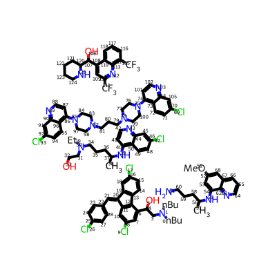 CCCCN(CCCC)CC(O)c1cc(Cl)cc2c1-c1ccc(Cl)cc1/C2=C/c1ccc(Cl)cc1.CCN(CCO)CCCC(C)Nc1ccnc2cc(Cl)ccc12.COc1cc(NC(C)CCCN)c2ncccc2c1.Clc1ccc2c(N3CCN(CCCN4CCN(c5ccnc6cc(Cl)ccc56)CC4)CC3)ccnc2c1.OC(c1cc(C(F)(F)F)nc2c(C(F)(F)F)cccc12)C1CCCCN1